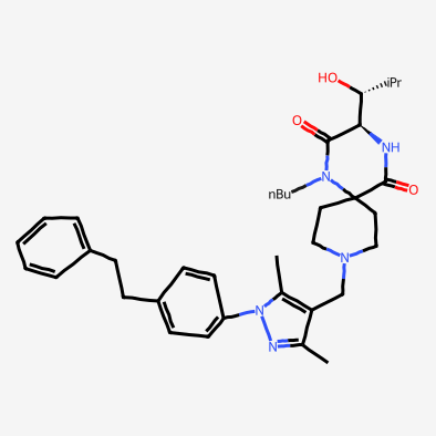 CCCCN1C(=O)[C@@H]([C@H](O)C(C)C)NC(=O)C12CCN(Cc1c(C)nn(-c3ccc(CCc4ccccc4)cc3)c1C)CC2